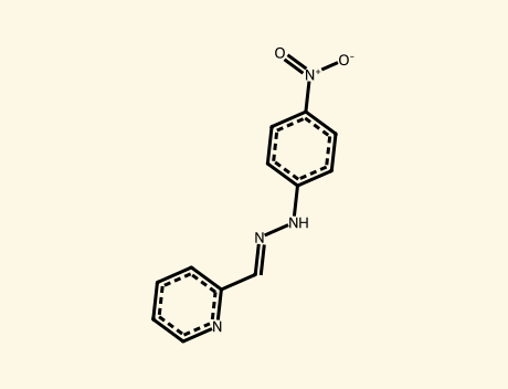 O=[N+]([O-])c1ccc(NN=Cc2ccccn2)cc1